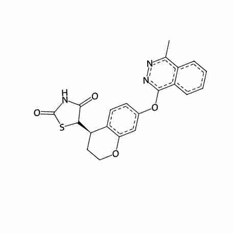 Cc1nnc(Oc2ccc3c(c2)OCC[C@H]3C2SC(=O)NC2=O)c2ccccc12